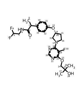 CC(C(=O)NCC(F)F)c1ccc(O[C@@H]2CCN(c3ncnc(OCC(C)(C)O)c3F)C2)cc1